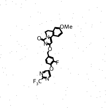 COc1ccc2c(c1)CCn1c-2cc(OCc2ccc(Oc3cnc(C(F)(F)F)nc3)c(F)c2)nc1=O